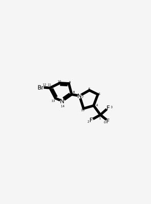 FC(F)(F)C1CCN(c2ccc(Br)cn2)C1